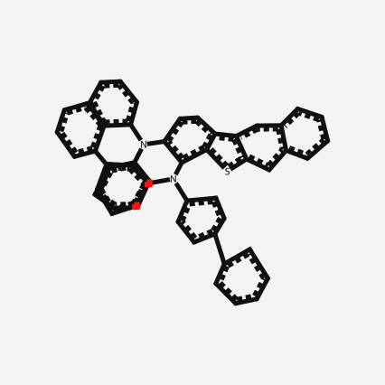 c1ccc(-c2ccc(N(c3ccccc3)c3c(N(c4ccccc4)c4ccccc4-c4ccccc4)ccc4c3sc3cc5ccccc5cc34)cc2)cc1